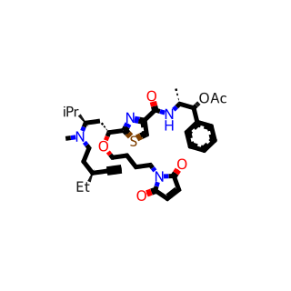 C#C[C@@H](CC)CCN(C)[C@H](C[C@@H](OCCCCN1C(=O)C=CC1=O)c1nc(C(=O)N[C@H](C)C(OC(C)=O)c2ccccc2)cs1)C(C)C